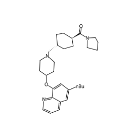 CCCCc1cc(OC2CCN(C[C@H]3CC[C@H](C(=O)N4CCCC4)CC3)CC2)c2ncccc2c1